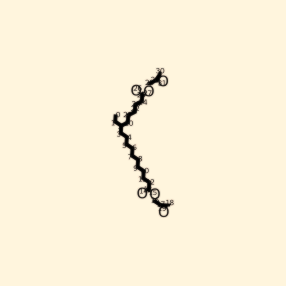 CCC(CCCCCCCCCCC(=O)OCC1CO1)CCCCCC(=O)OCC1CO1